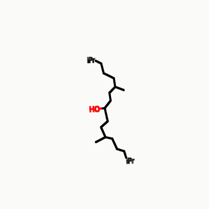 CC(C)CCCC(C)CCC(O)CCC(C)CCCC(C)C